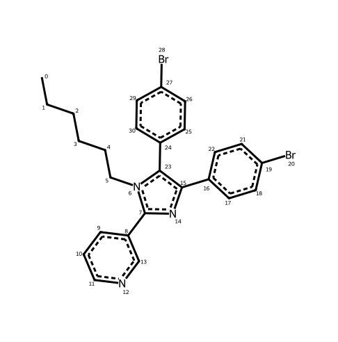 CCCCCCn1c(-c2cccnc2)nc(-c2ccc(Br)cc2)c1-c1ccc(Br)cc1